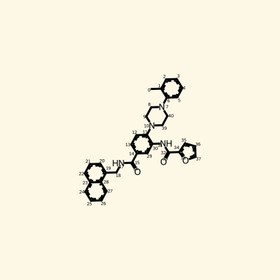 Cc1ccccc1N1CCN(c2ccc(C(=O)NCc3cccc4ccccc34)cc2NC(=O)c2ccco2)CC1